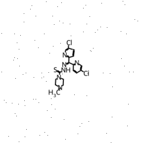 CN1CCN(C(=S)NN=C(c2ccc(Cl)cn2)c2ccc(Cl)cn2)CC1